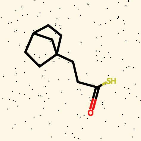 O=C(S)CCC12CCC(CC1)C2